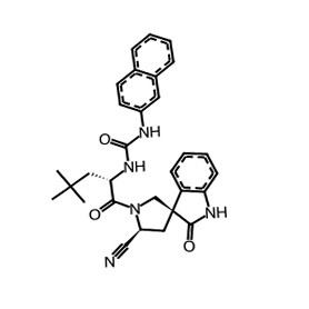 CC(C)(C)C[C@H](NC(=O)Nc1ccc2ccccc2c1)C(=O)N1C[C@]2(C[C@H]1C#N)C(=O)Nc1ccccc12